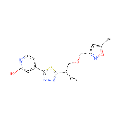 CC(C)c1cc(COCC(C)c2nnc(-c3ccnc(O)c3)s2)no1